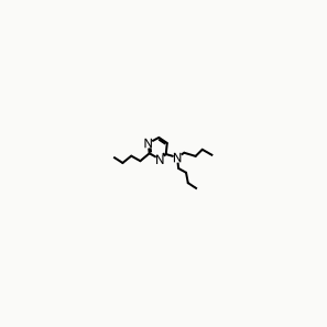 CCCCc1nccc(N(CCCC)CCCC)n1